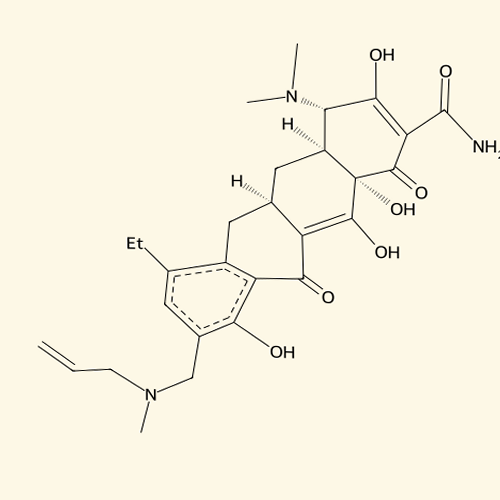 C=CCN(C)Cc1cc(CC)c2c(c1O)C(=O)C1=C(O)[C@]3(O)C(=O)C(C(N)=O)=C(O)[C@@H](N(C)C)[C@@H]3C[C@@H]1C2